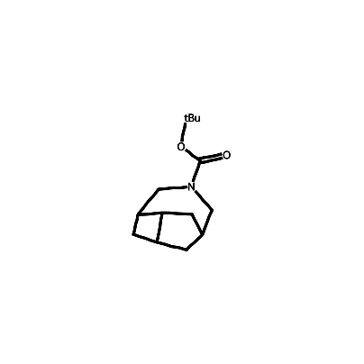 CC(C)(C)OC(=O)N1CC2CC3CC(C1)C3C2